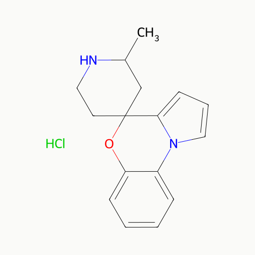 CC1CC2(CCN1)Oc1ccccc1-n1cccc12.Cl